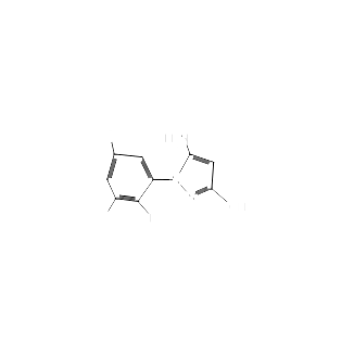 Cc1cc(N)n(-c2cc(F)cc(F)c2F)n1